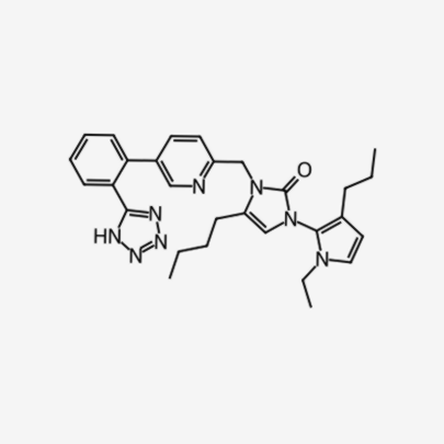 CCCCc1cn(-c2c(CCC)ccn2CC)c(=O)n1Cc1ccc(-c2ccccc2-c2nnn[nH]2)cn1